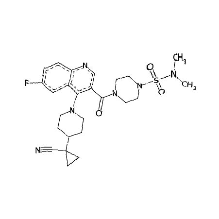 CN(C)S(=O)(=O)N1CCN(C(=O)c2cnc3ccc(F)cc3c2N2CCC(C3(C#N)CC3)CC2)CC1